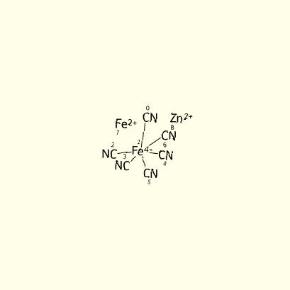 N#[C][Fe-4]([C]#N)([C]#N)([C]#N)([C]#N)[C]#N.[Fe+2].[Zn+2]